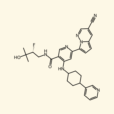 CC(C)(O)[C@H](F)CNC(=O)c1cnc(-c2ccc3cc(C#N)cnn23)cc1NC1CCC(c2cccnc2)CC1